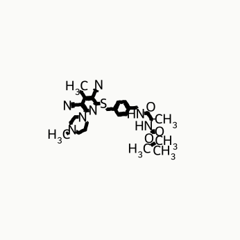 CCc1c(C#N)c(SCc2ccc(CNC(=O)[C@H](C)NC(=O)OC(C)(C)C)cc2)nc(N2CCCN(C)CC2)c1C#N